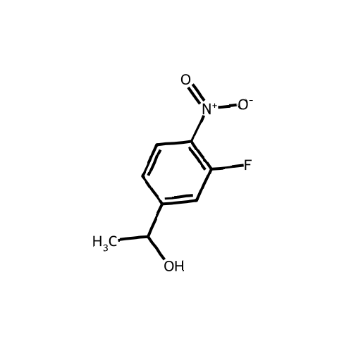 CC(O)c1ccc([N+](=O)[O-])c(F)c1